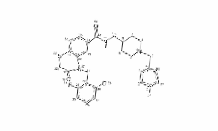 Cc1ccc(CN2CCC(CNC(=O)c3ccc4c(c3)N(Cc3c(F)cccc3Cl)C(=O)CS4)CC2)cc1